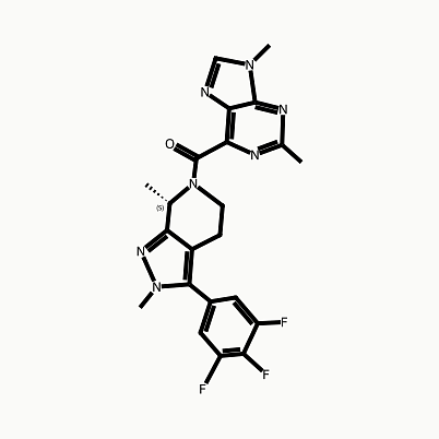 Cc1nc(C(=O)N2CCc3c(nn(C)c3-c3cc(F)c(F)c(F)c3)[C@@H]2C)c2ncn(C)c2n1